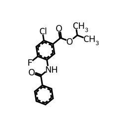 CC(C)OC(=O)c1cc(NC(=O)c2ccccc2)c(F)cc1Cl